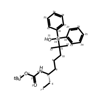 CC(C)(C)OC(=O)N[C@@H](CI)CCCC(C)(C)[Si](O)(c1ccccc1)c1ccccc1